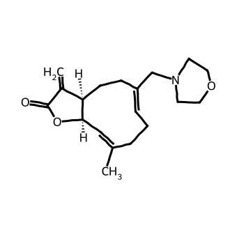 C=C1C(=O)O[C@@H]2/C=C(\C)CC/C=C(\CN3CCOCC3)CC[C@H]12